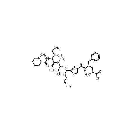 C=CCO[C@H](C[C@H](C(C)C)N(C)C(=O)[C@@H](NC(=O)[C@H]1CCCCN1C)[C@@H](C)CC)c1nc(C(=O)N[C@@H](Cc2ccccc2)C[C@H](C)C(=O)O)cs1